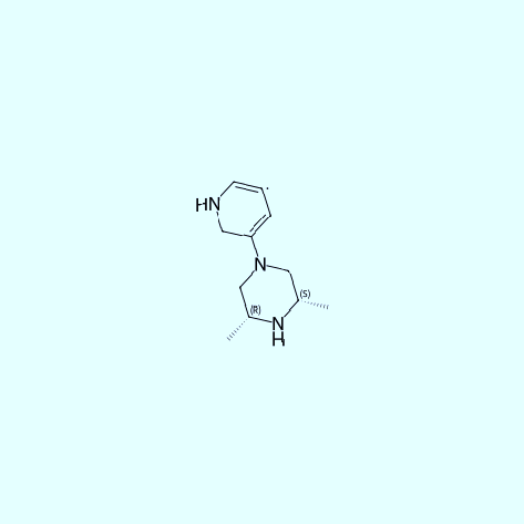 C[C@@H]1CN(C2=C[C]=CNC2)C[C@H](C)N1